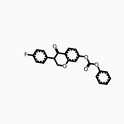 O=C(Oc1ccccc1)Oc1ccc2c(c1)OCC(c1ccc(F)cc1)C2=O